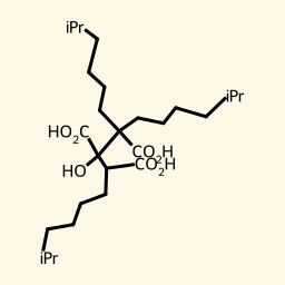 CC(C)CCCCC(C(=O)O)C(O)(C(=O)O)C(CCCCC(C)C)(CCCCC(C)C)C(=O)O